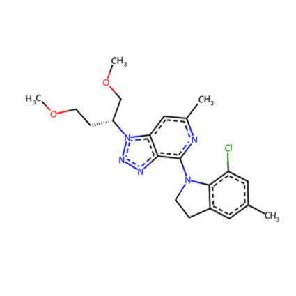 COCC[C@H](COC)n1nnc2c(N3CCc4cc(C)cc(Cl)c43)nc(C)cc21